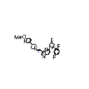 COc1ccc(C2CCN(/C=C/c3cnc4ccc(N5C[C@@H](F)C[C@@H]5c5cc(F)ccc5F)nn34)CC2)cn1